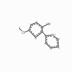 COc1ccc(Br)c(-c2ccccn2)c1